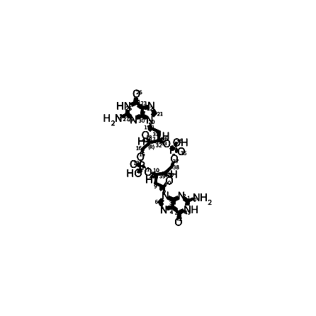 Nc1nc2c(ncn2[C@H]2C[C@@H]3OP(=O)(O)OC[C@H]4O[C@@H](n5cnc6c(=O)[nH]c(N)nc65)C[C@@H]4OP(=O)(O)OC[C@H]3O2)c(=O)[nH]1